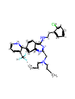 CCCN(CCC)Cc1nc(NCCc2ccccc2Cl)c2ccc(-c3ncccc3C(F)(F)F)cc2n1